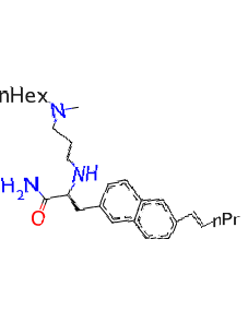 CCC/C=C/c1ccc2cc(C[C@H](NCCCN(C)CCCCCC)C(N)=O)ccc2c1